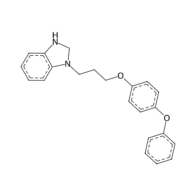 c1ccc(Oc2ccc(OCCCN3CNc4ccccc43)cc2)cc1